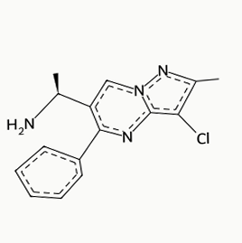 Cc1nn2cc([C@H](C)N)c(-c3ccccc3)nc2c1Cl